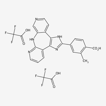 Cc1cc(-c2nc3c([nH]2)-c2ccncc2Nc2ncccc2-3)ccc1C(=O)O.O=C(O)C(F)(F)F.O=C(O)C(F)(F)F